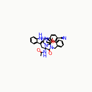 COc1ccccc1CN(C(=O)C(Cc1c[nH]c2ccccc12)(NC(C)=O)N1CC=CCC1)c1c[nH]c2ccc(C#N)cc12